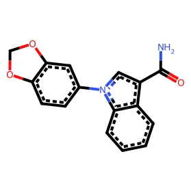 NC(=O)c1cn(-c2ccc3c(c2)OCO3)c2ccccc12